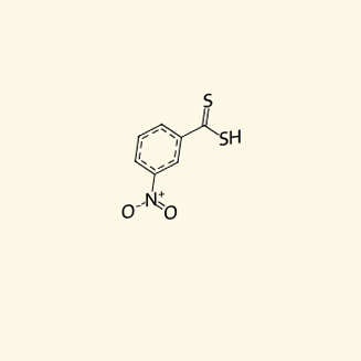 O=[N+]([O-])c1cccc(C(=S)S)c1